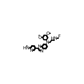 CNc1ccc(-c2cnc3ccc(N(CCCNCF)C4C=C(OC)C=C(OC)C4)cc3n2)cn1